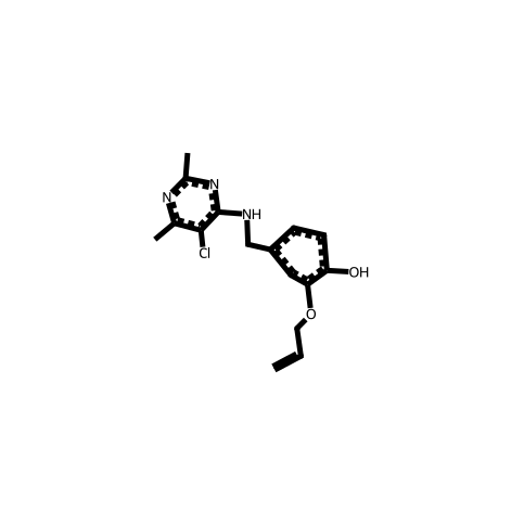 C=CCOc1cc(CNc2nc(C)nc(C)c2Cl)ccc1O